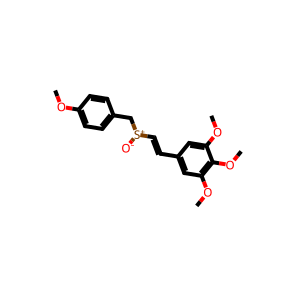 COc1ccc(C[S+]([O-])/C=C/c2cc(OC)c(OC)c(OC)c2)cc1